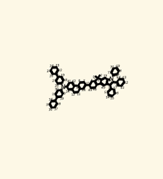 CC1(C)c2cc(-c3ccc4c(ccc5cc(N(c6ccc(-c7ccccc7)cc6)c6ccc(-c7ccccc7)cc6)ccc54)c3)ccc2-c2cc3c(-c4ccccc4)c(-c4ccccc4)n(-c4ccccc4)c3cc21